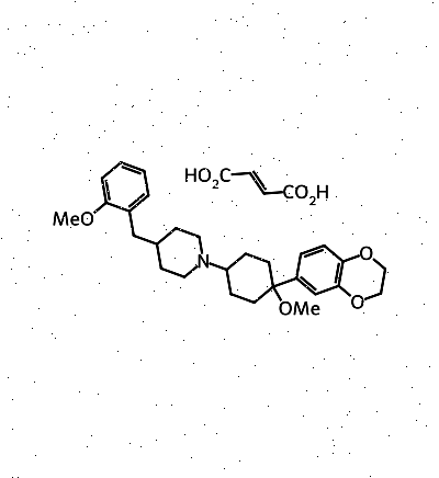 COc1ccccc1CC1CCN(C2CCC(OC)(c3ccc4c(c3)OCCO4)CC2)CC1.O=C(O)C=CC(=O)O